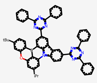 CC(C)c1cc2c3c(c1)-n1c4ccc(-c5nc(-c6ccccc6)nc(-c6ccccc6)n5)cc4c4cc(-c5nc(-c6ccccc6)nc(-c6ccccc6)n5)cc(c41)B3c1ccc(C(C)(C)C)cc1O2